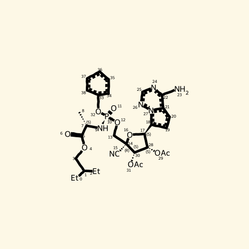 CCC(CC)COC(=O)[C@H](C)N[P@](=O)(OC[C@@]1(C#N)O[C@@H](c2ccc3c(N)ncnn23)[C@H](OC(C)=O)[C@@H]1OC(C)=O)Oc1ccccc1